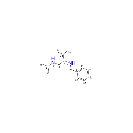 CC(C)NCC(NCc1ccccc1)C(C)C